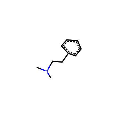 CN(C)[CH]Cc1ccccc1